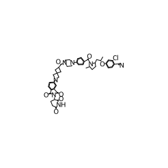 CC(CC1CCC(C)N1C(=O)c1ccc(N2CCN(C(=O)C3CC4(C3)CN(c3ccc5c(c3)C(=O)N(C3CCC(=O)NC3=O)C5=O)C4)CC2)cc1)Oc1ccc(C#N)c(Cl)c1